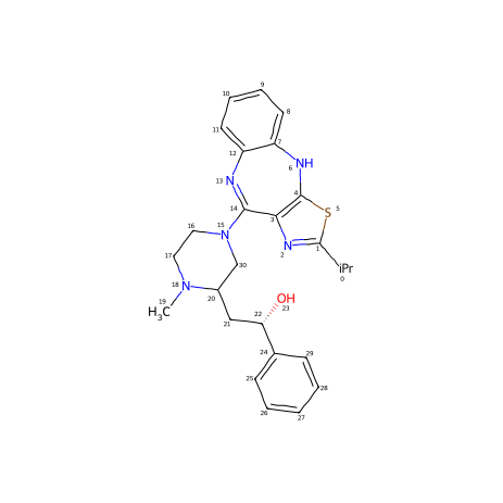 CC(C)c1nc2c(s1)Nc1ccccc1N=C2N1CCN(C)C(C[C@H](O)c2ccccc2)C1